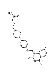 CN(C)CCCN1CCC(c2ccc(N/C=C3\C(=O)NC(=O)c4ccc(I)cc43)cc2)CC1